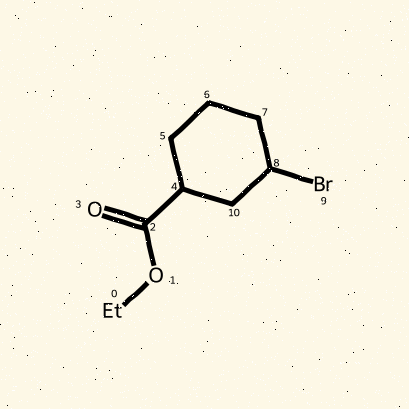 CCOC(=O)C1CCCC(Br)C1